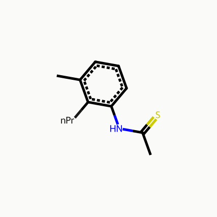 CCCc1c(C)cccc1NC(C)=S